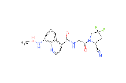 CBNc1cccc2c(C(=O)NCC(=O)N3CC(F)(F)C[C@H]3C#N)ccnc12